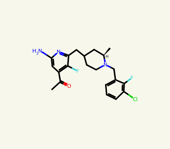 CC(=O)c1cc(N)nc(CC2CCN(Cc3cccc(Cl)c3F)[C@H](C)C2)c1F